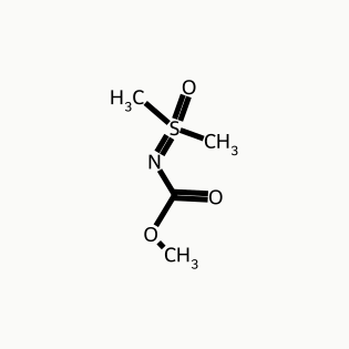 COC(=O)N=S(C)(C)=O